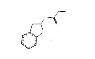 CCC(=O)OC1Cc2ccccc2N1.[H+]